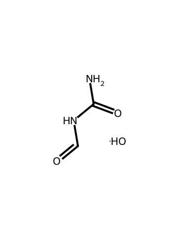 NC(=O)NC=O.[OH]